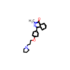 Cn1nc(-c2ccc(OCCCN3CCCC3)cc2)c2ccccc2c1=O